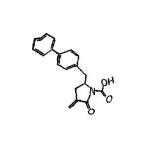 C=C1CC(Cc2ccc(-c3ccccc3)cc2)N(C(=O)O)C1=O